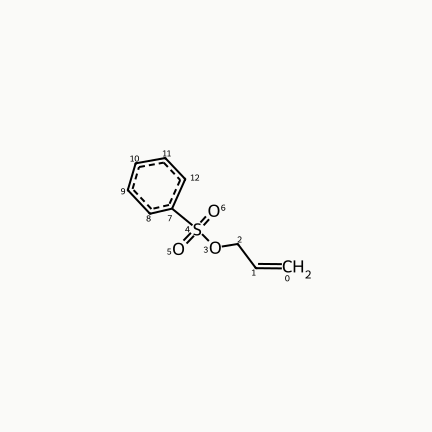 C=CCOS(=O)(=O)c1ccccc1